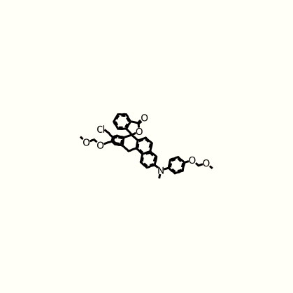 COCOc1ccc(N(C)c2ccc3c4c(ccc3c2)C2(OC(=O)c3ccccc32)c2cc(Cl)c(OCOC)cc2C4)cc1